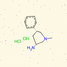 CN1C[C@H](N)C[C@H](c2ccccc2)C1.Cl.Cl